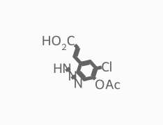 CC(=O)Oc1ccc(C=CC(=O)O)cc1Cl.[N-]=[N+]=N